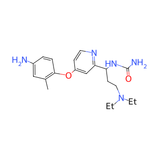 CCN(CC)CCC(NC(N)=O)c1cc(Oc2ccc(N)cc2C)ccn1